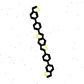 c1cc2ccc(-c3ccc(-c4cc5cc6sc(-c7ccc(-c8ccc9ccsc9c8)cc7)cc6cc5s4)cc3)cc2s1